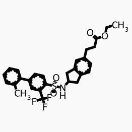 CCOC(=O)CCc1ccc2c(c1)CC(NS(=O)(=O)c1ccc(-c3ccccc3C)cc1C(F)(F)F)C2